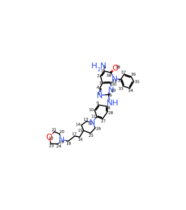 Nc1cc2cnc(Nc3ccc(N4CCC(CCCN5CCOCC5)CC4)cc3)nc2n(-c2ccccc2)c1=O